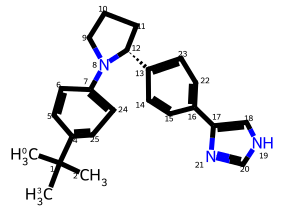 CC(C)(C)c1ccc(N2CCC[C@@H]2c2ccc(-c3c[nH]cn3)cc2)cc1